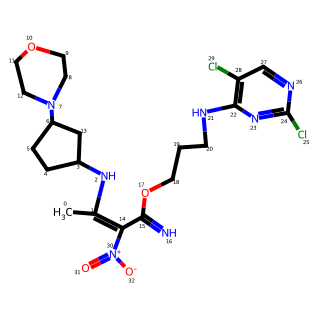 C/C(NC1CCC(N2CCOCC2)C1)=C(/C(=N)OCCCNc1nc(Cl)ncc1Cl)[N+](=O)[O-]